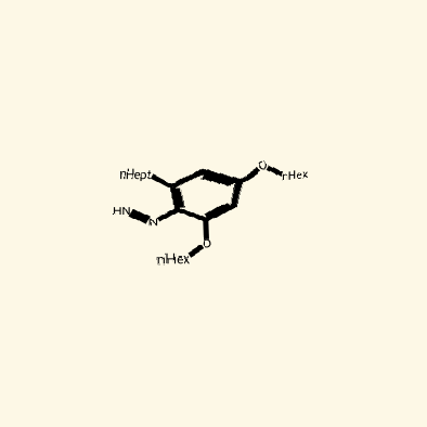 CCCCCCCc1cc(OCCCCCC)cc(OCCCCCC)c1N=N